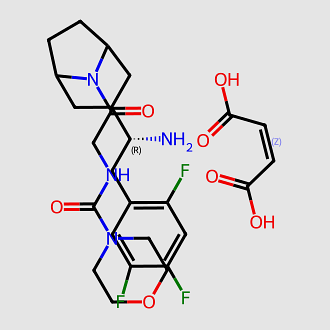 N[C@H](Cc1cc(F)c(F)cc1F)C1CC2CCC(C1)N2C(=O)CNC(=O)N1CCOCC1.O=C(O)/C=C\C(=O)O